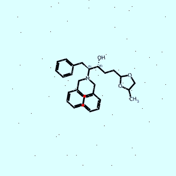 CC1COC(CC[C@@H](O)[C@H](Cc2ccccc2)N(Cc2ccccc2)Cc2ccccc2)O1